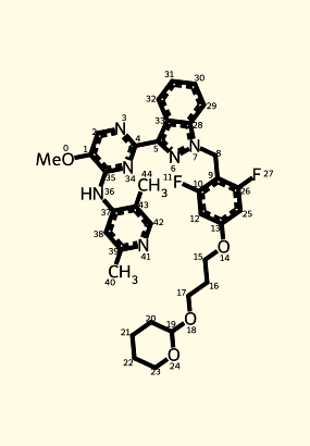 COc1cnc(-c2nn(Cc3c(F)cc(OCCCOC4CCCCO4)cc3F)c3ccccc23)nc1Nc1cc(C)ncc1C